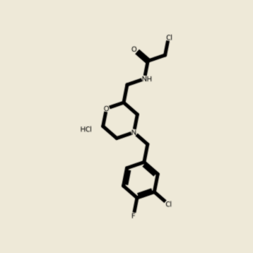 Cl.O=C(CCl)NCC1CN(Cc2ccc(F)c(Cl)c2)CCO1